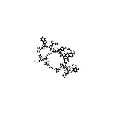 C[C@@H](O)[C@@H]1NC(=O)[C@H](CC(N)=O)NC(=O)[C@@H]2CCSC[C@H](NC(=O)[C@H](CCC(N)=O)NC(=O)[C@H](Cc3c[nH]c4ccccc34)NC1O)C(=O)NC(Cc1ccc(OCCN)cc1)C(=O)N[C@@H](Cc1ccc3ccccc3c1)C(=O)NC1(CCOCC1)C(=O)N[C@H](C(=O)N[C@@H](CC(N)=O)C(=O)N[C@@H](Cc1cccnc1)C(=O)N(C)CC(N)=O)CCC(=O)NCCCCCC(=O)N2